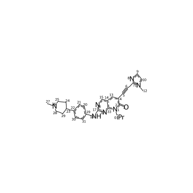 CC(C)n1c(=O)c(C#Cc2nccn2C)cc2cnc(Nc3ccc(C4CCN(C)CC4)cc3)nc21